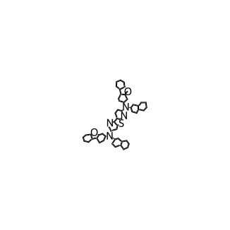 c1ccc2cc(N(c3ccc4c(c3)oc3ccccc34)c3cnc4c(c3)sc3nc(N(c5ccc6ccccc6c5)c5ccc6c(c5)oc5ccccc56)ccc34)ccc2c1